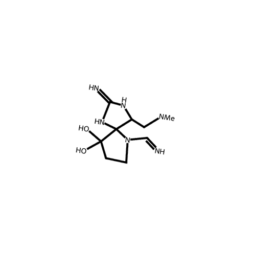 CNCC1NC(=N)NC12N(C=N)CCC2(O)O